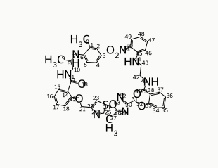 Cc1ccccc1NC(C)CNC(=O)c1ccccc1OCc1cscn1.Cc1nc(COc2ccccc2C(=O)NCCNc2ccccc2[N+](=O)[O-])no1